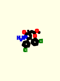 COC(=O)C[C@]1(C)C[C@H](c2cccc(Cl)c2)[C@@H](c2ccc(Cl)cc2)N(N)C1=O